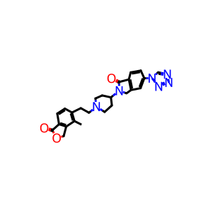 Cc1c(CCN2CCC(N3Cc4cc(-n5cnnn5)ccc4C3=O)CC2)ccc2c1COC2=O